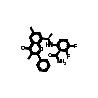 Cc1cc([C@@H](C)Nc2ccc(F)c(F)c2C(N)=O)c2oc(-c3ccccc3)c(C)c(=O)c2c1